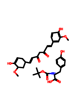 CC(C)(C)OC(=O)NC(Cc1ccc(O)cc1)C(=O)O.COc1cc(/C=C/C(=O)CC(=O)/C=C/C2CC=C(O)C(OC)C2)ccc1O